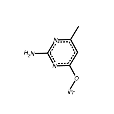 Cc1cc(OC(C)C)nc(N)n1